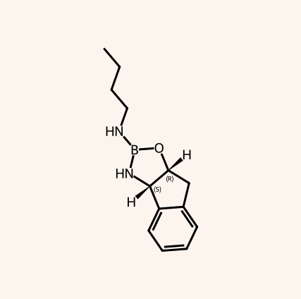 CCCCNB1N[C@H]2c3ccccc3C[C@H]2O1